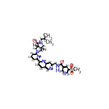 CC(C)CN1C[C@@H]2CN(c3cccc(-c4ccc5cnc(CNC(=O)c6cncc(S(C)(=O)=O)c6)cc5n4)n3)C[C@@H]2C1=O